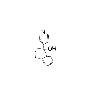 OC1(c2ccncc2)CCCc2ccccc21